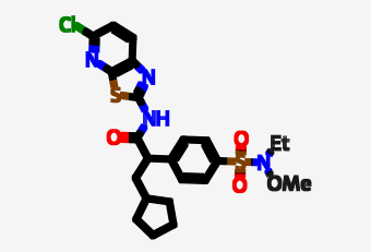 CCN(OC)S(=O)(=O)c1ccc(C(CC2CCCC2)C(=O)Nc2nc3ccc(Cl)nc3s2)cc1